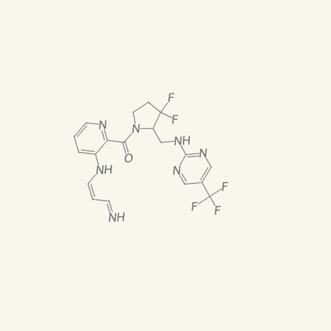 N=C/C=C\Nc1cccnc1C(=O)N1CCC(F)(F)C1CNc1ncc(C(F)(F)F)cn1